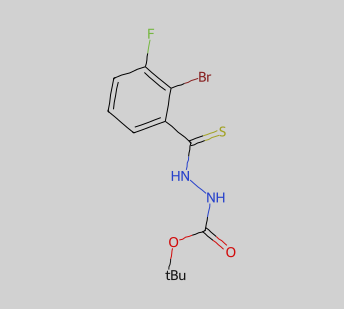 CC(C)(C)OC(=O)NNC(=S)c1cccc(F)c1Br